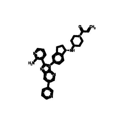 C=CC(=O)N1CCC(N[C@H]2CCc3cc(-n4c(-c5cccnc5N)nc5cc(-c6cccnc6)cnc54)ccc32)CC1